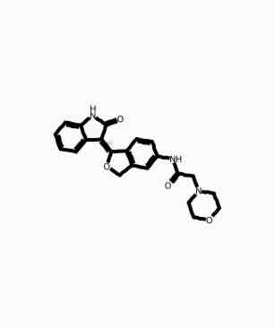 O=C(CN1CCOCC1)Nc1ccc2c(c1)CO/C2=C1/C(=O)Nc2ccccc21